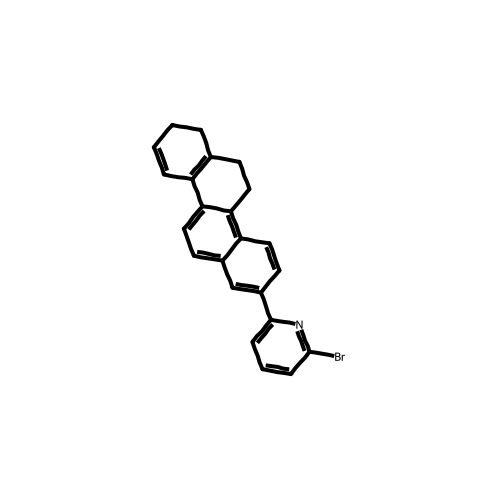 Brc1cccc(-c2ccc3c4c(ccc3c2)C2=C(CCC=C2)CC4)n1